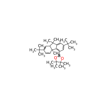 CC(C)(C)C1=CC2C(C)(C)c3cc(C(C)(C)C)cc(B4OC(C)(C)C(C)(C)O4)c3C2(C)C=C1